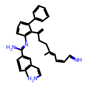 C=C(CC/C(C)=C/C=C\C=N)c1c(/N=C(\N)c2ccc(C)c(/C=C\N)c2)cccc1-c1ccccc1